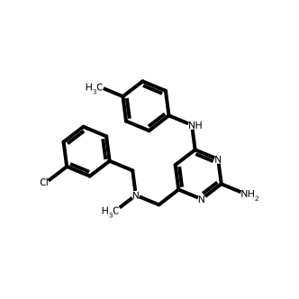 Cc1ccc(Nc2cc(CN(C)Cc3cccc(Cl)c3)nc(N)n2)cc1